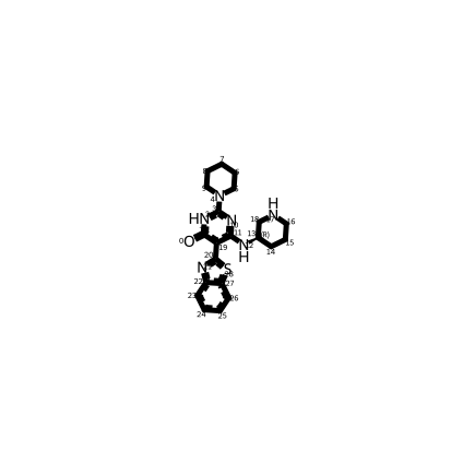 O=c1[nH]c(N2CCCCC2)nc(N[C@@H]2CCCNC2)c1-c1nc2ccccc2s1